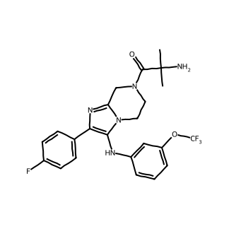 CC(C)(N)C(=O)N1CCn2c(nc(-c3ccc(F)cc3)c2Nc2cccc(OC(F)(F)F)c2)C1